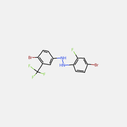 Fc1cc(Br)ccc1NNc1ccc(Br)c(C(F)(F)F)c1